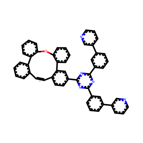 C1=C\c2ccc(-c3nc(-c4cccc(-c5cccnc5)c4)nc(-c4cccc(-c5cccnc5)c4)n3)cc2-c2ccccc2Oc2ccccc2-c2ccccc2/1